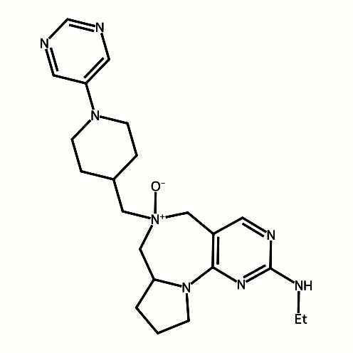 CCNc1ncc2c(n1)N1CCCC1C[N+]([O-])(CC1CCN(c3cncnc3)CC1)C2